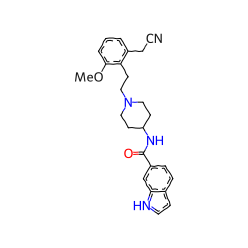 COc1cccc(CC#N)c1CCN1CCC(NC(=O)c2ccc3cc[nH]c3c2)CC1